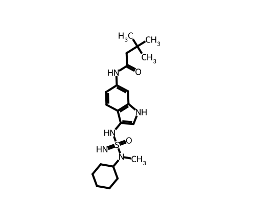 CN(C1CCCCC1)S(=N)(=O)Nc1c[nH]c2cc(NC(=O)CC(C)(C)C)ccc12